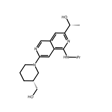 CC(C)Nc1nc([C@@H](C)O)cc2cnc(N3CCC[C@@H](CO)C3)cc12